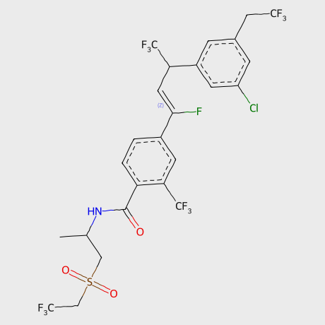 CC(CS(=O)(=O)CC(F)(F)F)NC(=O)c1ccc(/C(F)=C/C(c2cc(Cl)cc(CC(F)(F)F)c2)C(F)(F)F)cc1C(F)(F)F